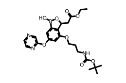 CCOC(=O)CC1OB(O)c2cc(Oc3cnccn3)cc(OCCCNC(=O)OC(C)(C)C)c21